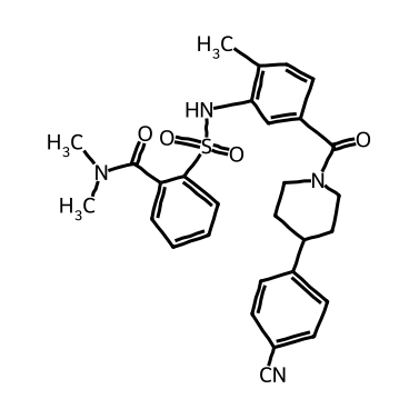 Cc1ccc(C(=O)N2CCC(c3ccc(C#N)cc3)CC2)cc1NS(=O)(=O)c1ccccc1C(=O)N(C)C